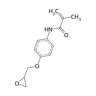 C=C(C)C(=O)Nc1ccc(OCC2CO2)cc1